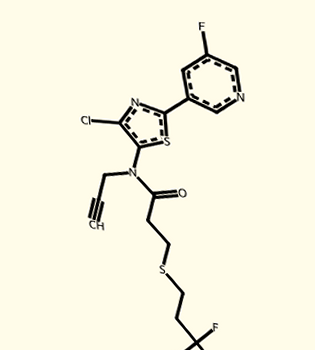 C#CCN(C(=O)CCSCCC(C)(F)F)c1sc(-c2cncc(F)c2)nc1Cl